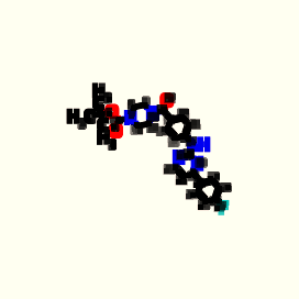 CC(C)(C)OC(=O)N1CCN(C(=O)c2ccc(Nc3nccc(-c4ccc(F)cc4)n3)cc2)CC1